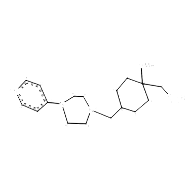 COC1(CC(=O)O)CCC(CN2CCN(c3ccncc3)CC2)CC1